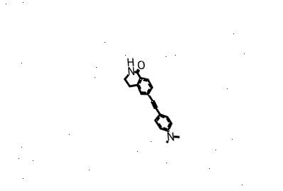 CN(C)c1ccc(C#Cc2ccc3c(c2)CCNC3=O)cc1